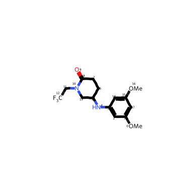 COc1cc(NC2CCC(=O)N(CC(F)(F)F)C2)cc(OC)c1